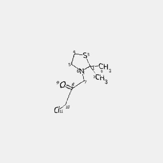 CC1(C)SCCN1CC(=O)CCl